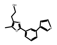 Cc1oc(-c2cccc(-c3ccsc3)c2)nc1CCO